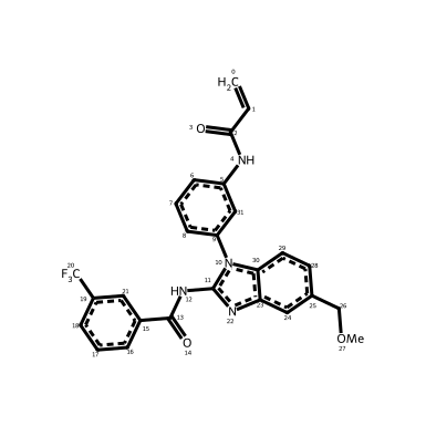 C=CC(=O)Nc1cccc(-n2c(NC(=O)c3cccc(C(F)(F)F)c3)nc3cc(COC)ccc32)c1